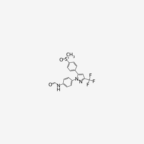 C[S+]([O-])c1ccc(-c2cc(C(F)(F)F)nn2-c2ccc(NC=O)cc2)cc1